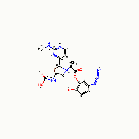 C=C(C(=O)Oc1cc(N=[N+]=[N-])ccc1O)N1C=C(NC(=O)O)S[C@H]1c1ccnc(NC)n1